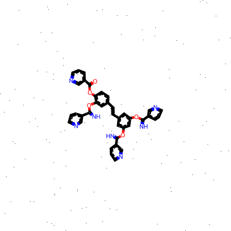 N=C(Oc1cc(/C=C/c2ccc(OC(=O)c3cccnc3)c(OC(=N)c3cccnc3)c2)cc(OC(=N)c2cccnc2)c1)c1cccnc1